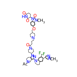 CC(=O)N1CCc2c(c(N3CCCc4cc(-c5cnn(C)c5)c(C(F)F)cc43)nn2C2CCN(C(=O)CCCN3CCC(COc4ccc5c(c4)n(C)c(=O)n5C4CCC(=O)NC4=O)CC3)CC2)C1